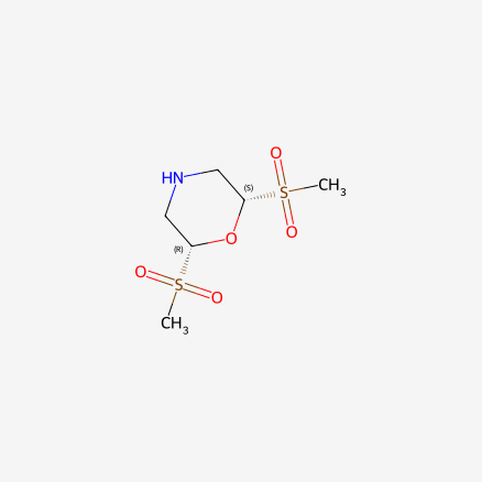 CS(=O)(=O)[C@@H]1CNC[C@H](S(C)(=O)=O)O1